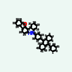 c1ccc(-c2c3ccccc3c(-c3ccc(Nc4ccccc4-c4cccc5c4oc4ccccc45)cc3)c3ccccc23)cc1